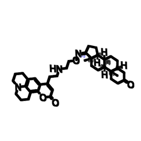 C[C@]12CCC(=O)C[C@@H]1CC[C@@H]1[C@@H]2CC[C@]2(C)/C(=N\OCCNCCc3cc(=O)oc4c5c6c(cc34)CCCN6CCC5)CC[C@@H]12